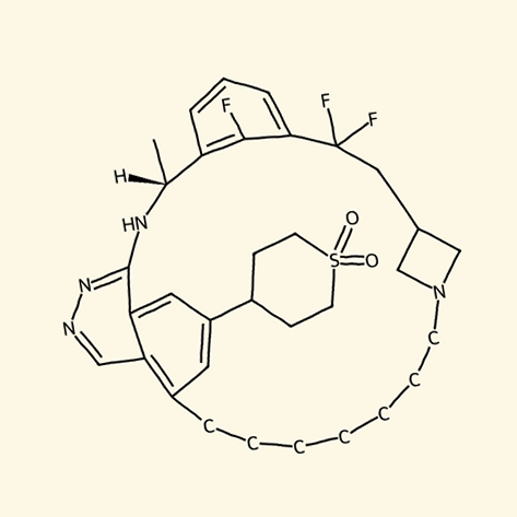 C[C@H]1Nc2nncc3c(cc(C4CCS(=O)(=O)CC4)cc23)CCCCCCCN2CC(C2)CC(F)(F)c2cccc1c2F